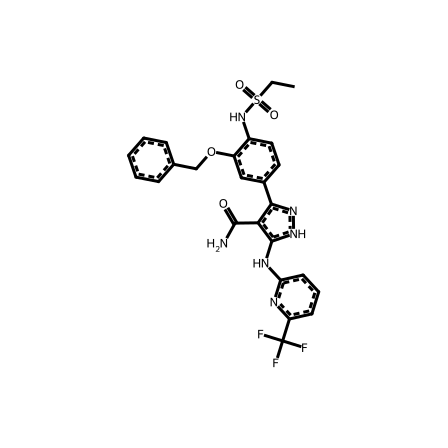 CCS(=O)(=O)Nc1ccc(-c2n[nH]c(Nc3cccc(C(F)(F)F)n3)c2C(N)=O)cc1OCc1ccccc1